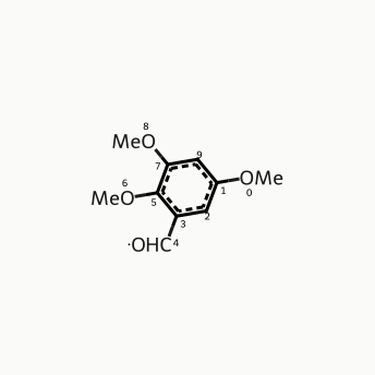 COc1cc([C]=O)c(OC)c(OC)c1